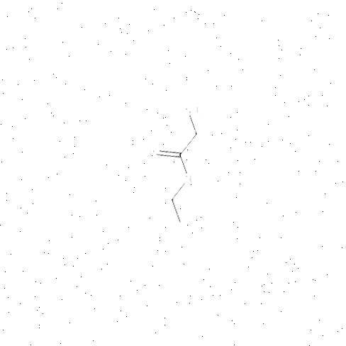 CCNC(=N)CN